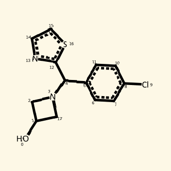 OC1CN(C(c2ccc(Cl)cc2)c2nccs2)C1